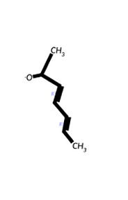 C/C=C/C=C/C(C)[O]